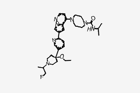 CCOC1(c2ccc(-c3cc4c(N5CCN(C(=O)NC(C)C)CC5)ccnn4c3)nc2)CCN(C(C)CF)CC1